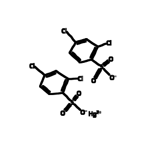 O=S(=O)([O-])c1ccc(Cl)cc1Cl.O=S(=O)([O-])c1ccc(Cl)cc1Cl.[Hg+2]